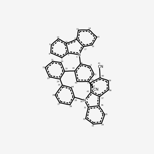 N#Cc1ccc(-n2c3ccccc3c3ccccc32)c(-c2ccccc2-c2cccc(-n3c4ccccc4c4ccc(C#N)cc43)c2)c1